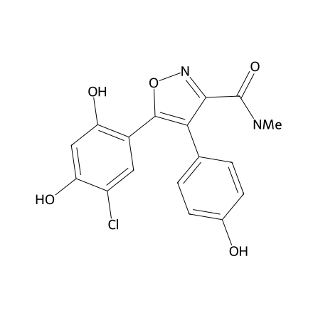 CNC(=O)c1noc(-c2cc(Cl)c(O)cc2O)c1-c1ccc(O)cc1